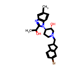 Cc1ccc2c(c1)nc(C(C)O)n2[C@@H]1CCN(CC2Cc3ccc(Br)cc3C2)C[C@H]1O